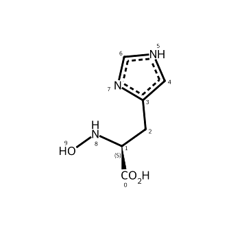 O=C(O)[C@H](Cc1c[nH]cn1)NO